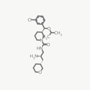 CC(C)OC(c1cccc(Cl)c1)[C@@H]1CCCN(C(=O)NC[C@H](N)C[C@H]2CCCOC2)C1